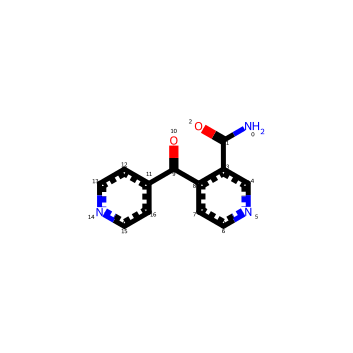 NC(=O)c1cnccc1C(=O)c1ccncc1